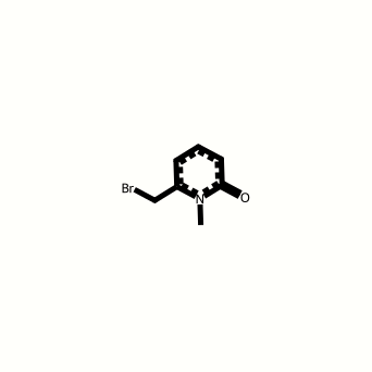 Cn1c(CBr)cccc1=O